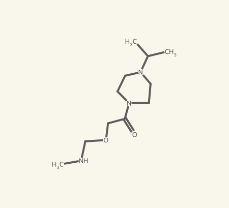 CNCOCC(=O)N1CCN(C(C)C)CC1